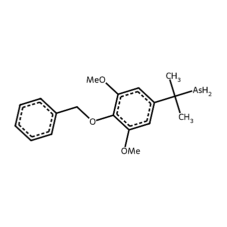 COc1cc(C(C)(C)[AsH2])cc(OC)c1OCc1ccccc1